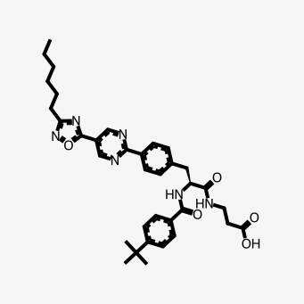 CCCCCCc1noc(-c2cnc(-c3ccc(C[C@H](NC(=O)c4ccc(C(C)(C)C)cc4)C(=O)NCCC(=O)O)cc3)nc2)n1